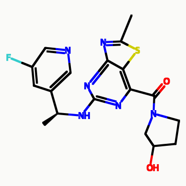 Cc1nc2nc(N[C@@H](C)c3cncc(F)c3)nc(C(=O)N3CCC(O)C3)c2s1